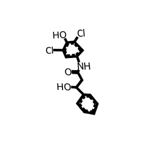 O=C(CC(O)c1ccccc1)Nc1cc(Cl)c(O)c(Cl)c1